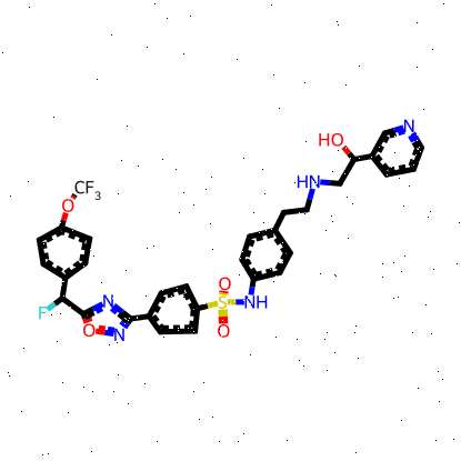 O=S(=O)(Nc1ccc(CCNCC(O)c2cccnc2)cc1)c1ccc(-c2noc(C(F)c3ccc(OC(F)(F)F)cc3)n2)cc1